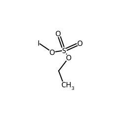 CCOS(=O)(=O)OI